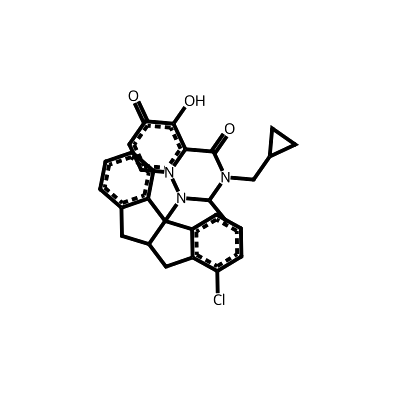 CC1N(CC2CC2)C(=O)c2c(O)c(=O)ccn2N1C12c3ccccc3CC1Cc1c(Cl)cccc12